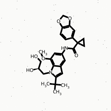 COc1cc(NC(=O)C2(c3ccc4c(c3)OCO4)CC2)cc2cc(C(C)(C)C)n(C[C@@H](O)CO)c12